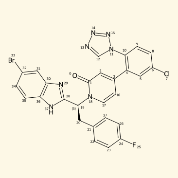 O=c1cc(-c2cc(Cl)ccc2-n2cnnn2)ccn1[C@@H](Cc1ccc(F)cc1)c1nc2cc(Br)ccc2[nH]1